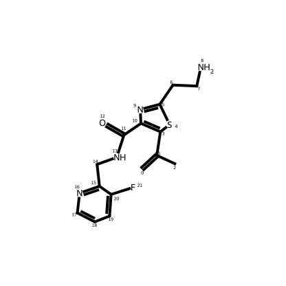 C=C(C)c1sc(CCN)nc1C(=O)NCc1ncccc1F